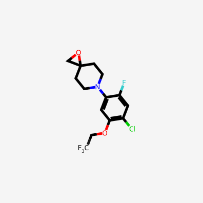 Fc1cc(Cl)c(OCC(F)(F)F)cc1N1CCC2(CC1)CO2